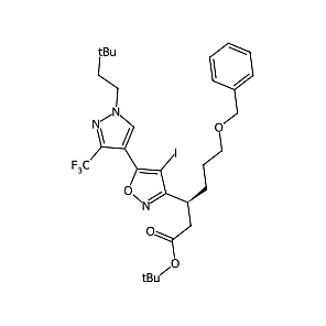 CC(C)(C)CCn1cc(-c2onc([C@@H](CCCOCc3ccccc3)CC(=O)OC(C)(C)C)c2I)c(C(F)(F)F)n1